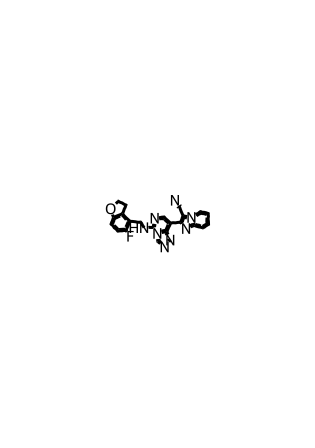 N#Cc1c(-c2cnc(NCc3c(F)ccc4c3CCO4)n3cnnc23)nc2ccccn12